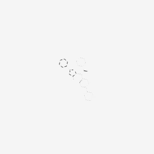 C[C@H]1CC[C@H](C(=O)N(c2sc(-c3ccccc3)cc2C(=O)O)C2CCN(C3CCCOC3)CC2)CC1